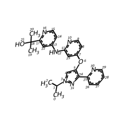 CC(C)n1cc(Oc2ccnc(Nc3ccnc(C(C)(C)O)c3)c2)c(-c2ccccn2)n1